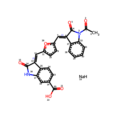 CC(=O)N1C(=O)/C(=C/c2ccc(/C=C3/C(=O)Nc4cc(C(=O)O)ccc43)o2)c2ccccc21.[NaH]